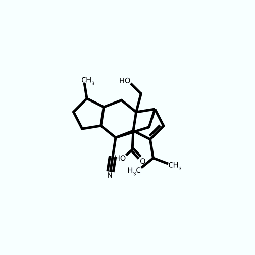 CC(C)C1=CC2CC3(C#N)C4CCC(C)C4CC2(CO)C13C(=O)O